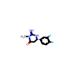 CN1C(=N)N[C@H](c2ccc(F)c(F)c2)CC1=O